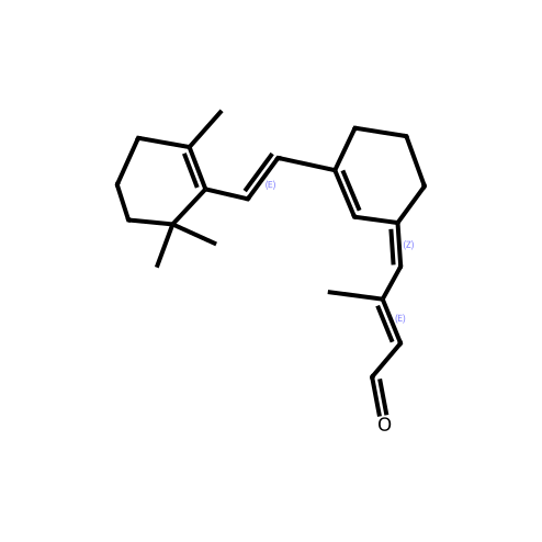 CC1=C(/C=C/C2=CC(=C\C(C)=C\C=O)/CCC2)C(C)(C)CCC1